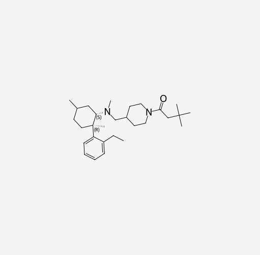 CCc1ccccc1[C@@]1(C)CCC(C)C[C@@H]1N(C)CC1CCN(C(=O)CC(C)(C)C)CC1